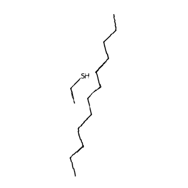 CCCCCCCCCCCC.CCS